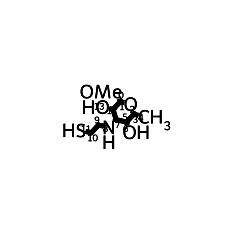 COC1OC(C)C(O)C(NCCS)C1O